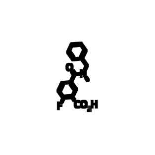 CN(Cc1ccccc1)C(=O)c1ccc(F)c(C(=O)O)c1